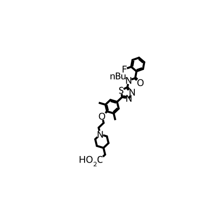 CCCCN(C(=O)c1ccccc1F)c1nnc(-c2cc(C)c(OCCN3CCC(CC(=O)O)CC3)c(C)c2)s1